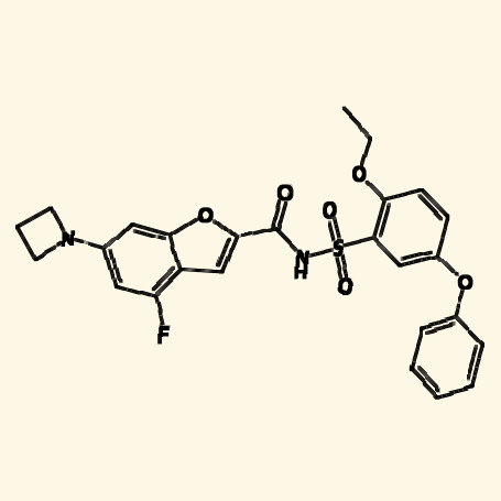 CCOc1ccc(Oc2ccccc2)cc1S(=O)(=O)NC(=O)c1cc2c(F)cc(N3CCC3)cc2o1